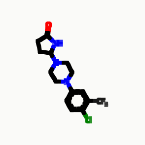 O=C1CCC(N2CCN(c3ccc(Cl)c(C(F)(F)F)c3)CC2)N1